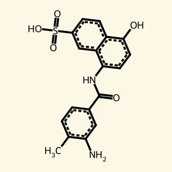 Cc1ccc(C(=O)Nc2ccc(O)c3ccc(S(=O)(=O)O)cc23)cc1N